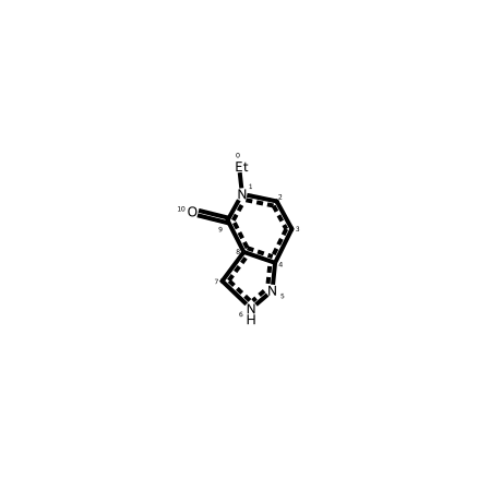 CCn1ccc2n[nH]cc2c1=O